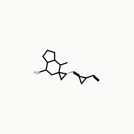 C=CC1C/C1=C\[C@@H]1CC12CC(N)C1CCCC1C2C